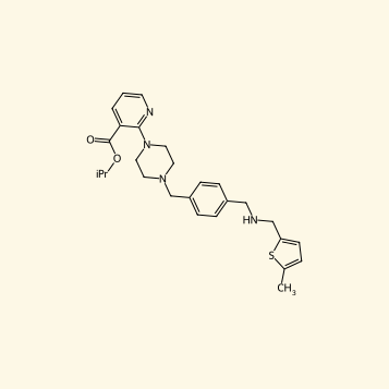 Cc1ccc(CNCc2ccc(CN3CCN(c4ncccc4C(=O)OC(C)C)CC3)cc2)s1